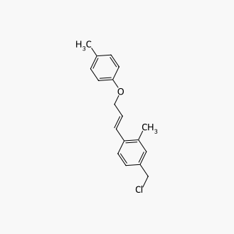 Cc1ccc(OCC=Cc2ccc(CCl)cc2C)cc1